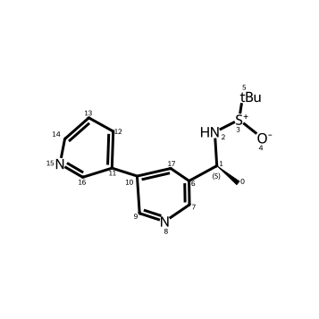 C[C@H](N[S+]([O-])C(C)(C)C)c1cncc(-c2cccnc2)c1